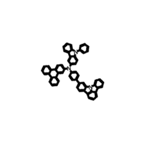 c1ccc(-n2c3ccccc3c3cc(N(c4ccc(-c5ccc6c7cccc8c9ccccc9n(c6c5)c87)cc4)c4ccc5c6ccccc6c6ccccc6c5c4)ccc32)cc1